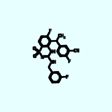 CC(c1ccc(F)c(C#N)c1)c1c(F)ccc2c1NC(NCc1cccc(F)c1)=NS2(=O)=O